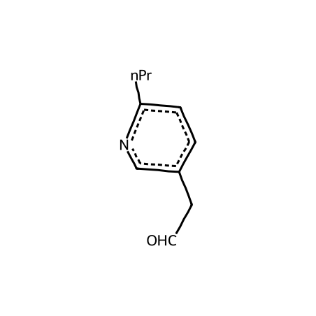 CCCc1ccc(CC=O)cn1